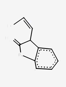 C=C1Nc2ccccc2C1/C=C\C